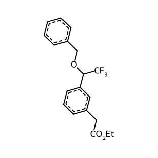 CCOC(=O)Cc1cccc(C(OCc2ccccc2)C(F)(F)F)c1